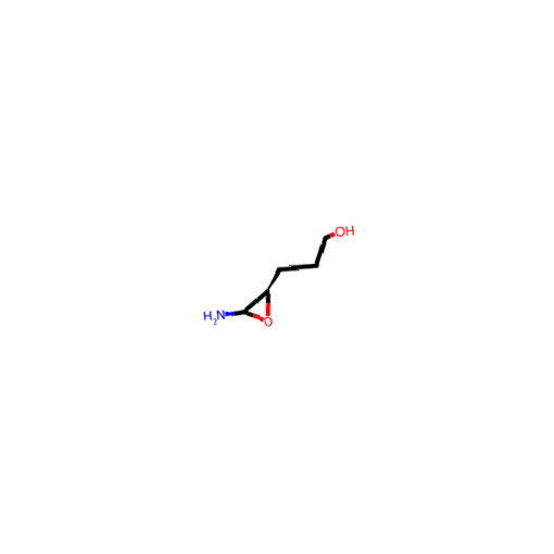 NC1O[C@@H]1CCCO